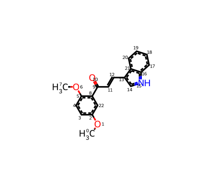 COc1ccc(OC)c(C(=O)C=Cc2c[nH]c3ccccc23)c1